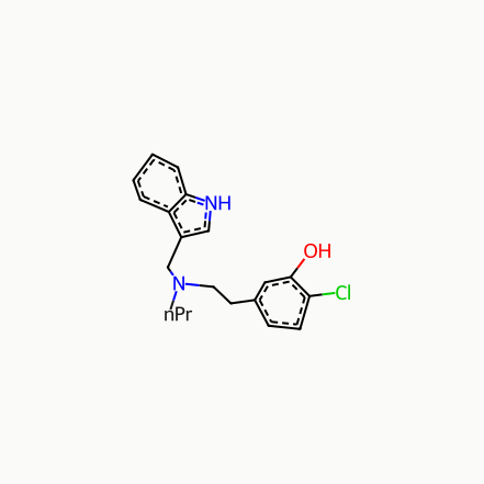 CCCN(CCc1ccc(Cl)c(O)c1)Cc1c[nH]c2ccccc12